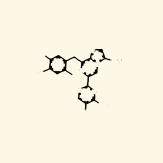 COc1cnc2c(Cc3cc(F)c(Br)cc3C)nc(-c3ncc(F)c(O)n3)cn12